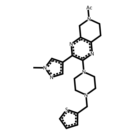 CC(=O)N1CCc2nc(N3CCN(Cc4cccs4)CC3)c(-c3cnn(C)c3)nc2C1